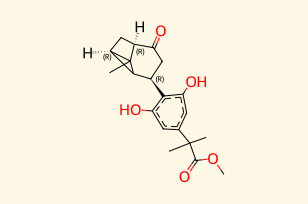 COC(=O)C(C)(C)c1cc(O)c([C@@H]2CC(=O)[C@@H]3C[C@@H]4C2C43C)c(O)c1